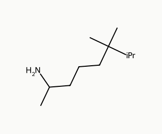 CC(N)CCCC(C)(C)C(C)C